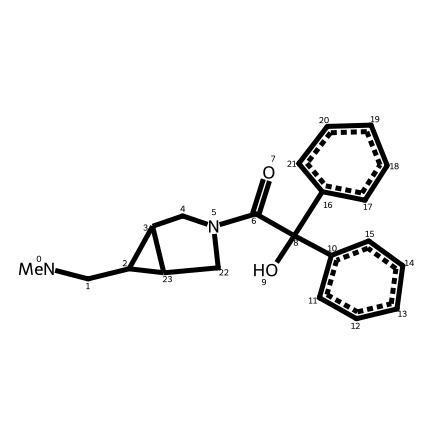 CNCC1C2CN(C(=O)C(O)(c3ccccc3)c3ccccc3)CC12